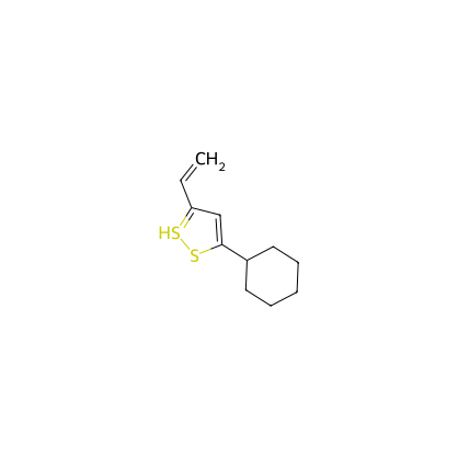 C=CC1=[SH]SC(C2CCCCC2)=C1